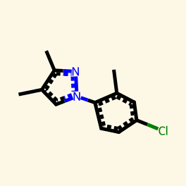 Cc1cc(Cl)ccc1-n1cc(C)c(C)n1